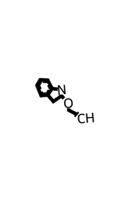 C#CCOC1=Nc2ccccc2C1